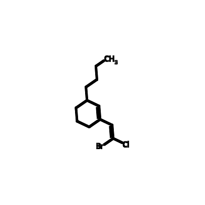 CCCCC1C=C(/C=C(/Cl)Br)CCC1